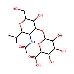 CC(=O)NC1C(C(C)C)OC(CO)C(O)C1OC1OC(C(=O)O)C(O)C(O)C1O